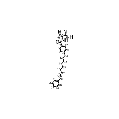 N=C(N)C1(NC(=O)c2ccc(CCCCCCCOCc3ccccc3)cc2)CC1